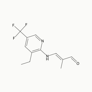 CCc1cc(C(F)(F)F)cnc1N/C=C(\C)C=O